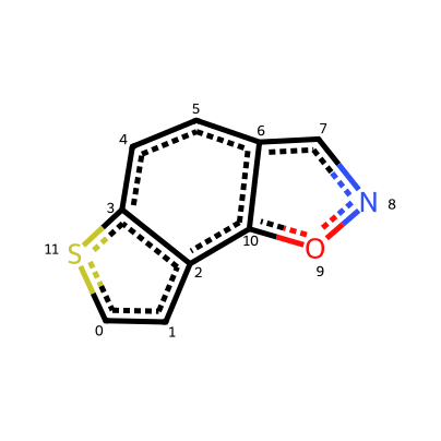 c1cc2c(ccc3cnoc32)s1